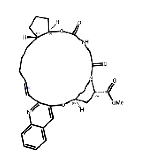 COC(=O)[C@@H]1C[C@@H]2CN1C(=O)CNC(=O)O[C@@H]1CCC[C@H]1CCC/C=C/c1nc3ccccc3cc1O2